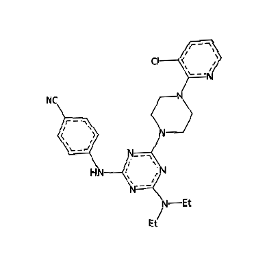 CCN(CC)c1nc(Nc2ccc(C#N)cc2)nc(N2CCN(c3ncccc3Cl)CC2)n1